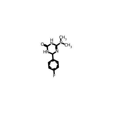 CN(C)C1=NC(c2ccc(F)cc2)NC(=O)N1